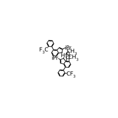 CC(C)C1=Cc2c(-c3ccccc3C(F)(F)F)cccc2[CH]1[Hf]([CH]1C(C(C)C)=Cc2c(-c3ccccc3C(F)(F)F)cccc21)[SiH](C)C